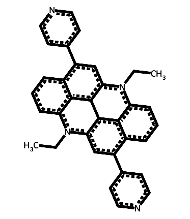 CCn1c2cc(-c3ccncc3)c3cccc4c3c2-c2c3c(cccc31)c(-c1ccncc1)cc2n4CC